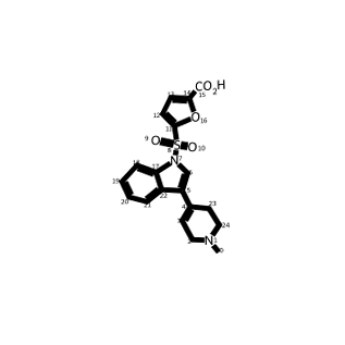 CN1CC=C(c2cn(S(=O)(=O)c3ccc(C(=O)O)o3)c3ccccc23)CC1